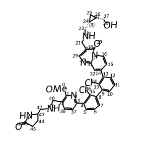 COc1nc(-c2cccc(-c3cccc(-c4ccn5c(=O)c(CNC[C@@H]6C[C@@H]6CO)cnc5c4)c3Cl)c2Cl)ccc1CNCC1CCC(=O)N1